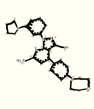 CC(C)c1nn(-c2cccc(N3CCCC3)c2)c2nc(C(=O)O)cc(-c3ccc(N4CCOCC4)cc3)c12